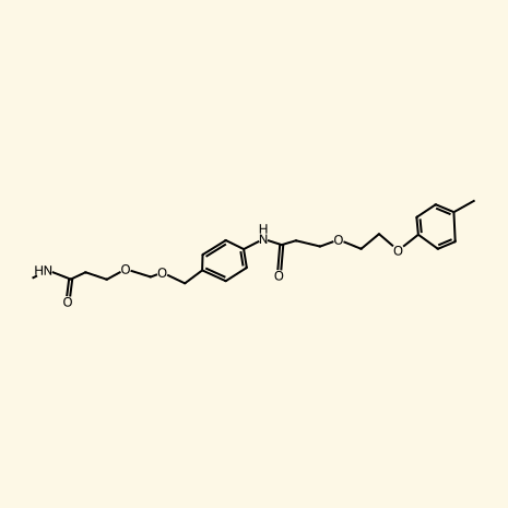 CNC(=O)CCOCOCc1ccc(NC(=O)CCOCCOc2ccc(C)cc2)cc1